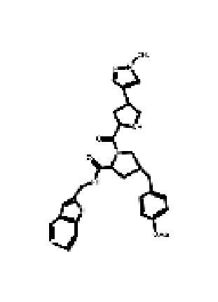 COc1ccc(CC2CC(C(=O)NCc3cc4cnccc4[nH]3)N(C(=O)C3CC(c4cnn(C)c4)CN3)C2)cc1